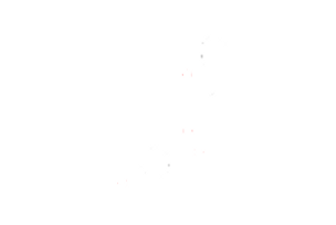 O=C(OC/C=C/c1ccccc1O)c1ccc(O)cc1